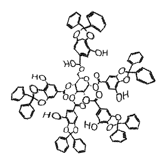 O=C(O[C@H]1O[C@H](COC(O)c2cc(O)c3c(c2)OC(c2ccccc2)(c2ccccc2)O3)[C@@H](OC(=O)c2cc(O)c3c(c2)OC(c2ccccc2)(c2ccccc2)O3)[C@H](OC(=O)c2cc(O)c3c(c2)OC(c2ccccc2)(c2ccccc2)O3)[C@H]1OC(=O)c1cc(O)c2c(c1)OC(c1ccccc1)(c1ccccc1)O2)c1cc(O)c2c(c1)OC(c1ccccc1)(c1ccccc1)O2